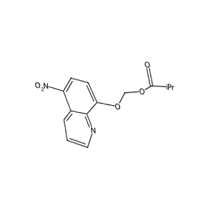 CC(C)C(=O)OCOc1ccc([N+](=O)[O-])c2cccnc12